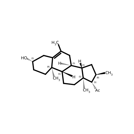 CC(=O)[C@H]1[C@H](C)C[C@H]2[C@@H]3CC(C)=C4C[C@@H](O)CC[C@]4(C)[C@H]3CC[C@@]21C